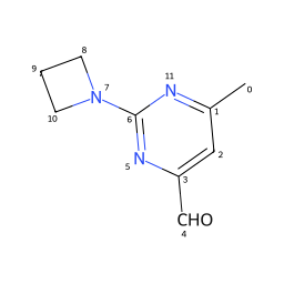 Cc1cc(C=O)nc(N2C[CH]C2)n1